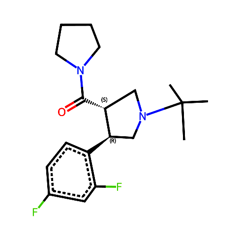 CC(C)(C)N1C[C@@H](C(=O)N2CCCC2)[C@H](c2ccc(F)cc2F)C1